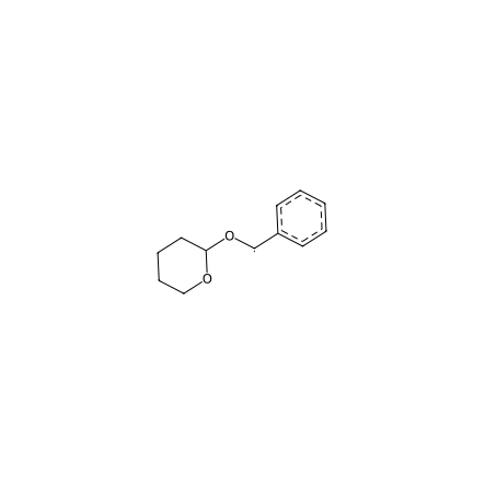 [CH](OC1CCCCO1)c1ccccc1